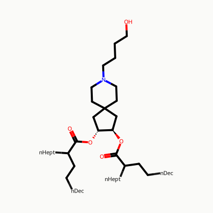 CCCCCCCCCCCCC(CCCCCCC)C(=O)O[C@@H]1CC2(CCN(CCCCO)CC2)C[C@H]1OC(=O)C(CCCCCCC)CCCCCCCCCCCC